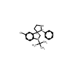 CC(C)(C)N1C[C@]2(CCN[C@H]2c2ccccc2)c2cc(Cl)ccc21